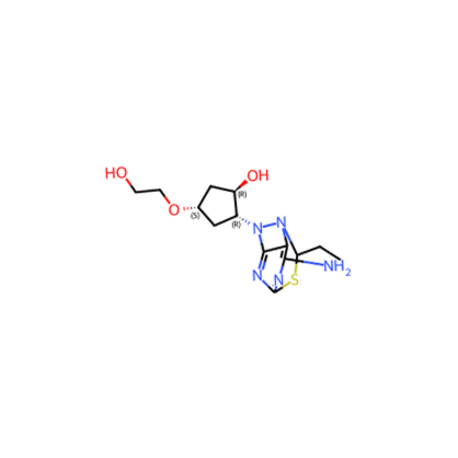 CCC1Sc2nc(N)c3c(n2)n([C@@H]2C[C@H](OCCO)C[C@H]2O)n31